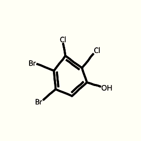 Oc1cc(Br)c(Br)c(Cl)c1Cl